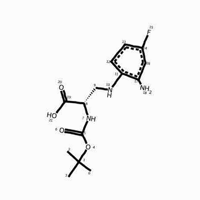 CC(C)(C)OC(=O)N[C@@H](CNc1ccc(F)cc1N)C(=O)O